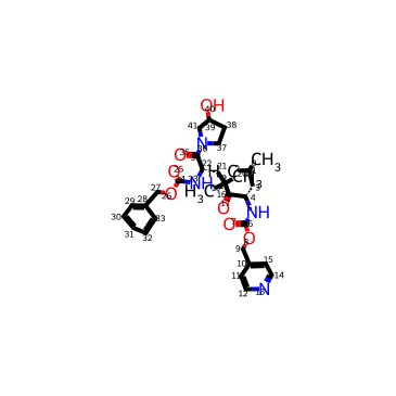 CC(C)C[C@H](NC(=O)OCc1ccncc1)C(=O)C(C)(C)C[C@H](NC(=O)OCc1ccccc1)C(=O)N1CCC(O)C1